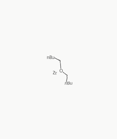 CCCCCOCCCCC.[Zr]